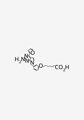 Nc1nc(-c2ccco2)c2ccn(Cc3cccc(OCCCCCCC(=O)O)c3)c2n1